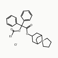 CCC(=O)OC(C(=O)OC1CC2CCC(C1)[N+]21CCCC1)(c1ccccc1)c1ccccc1.[Cl-]